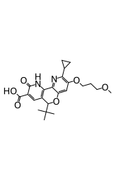 COCCCOc1cc2c(nc1C1CC1)-c1[nH]c(=O)c(C(=O)O)cc1C(C(C)(C)C)O2